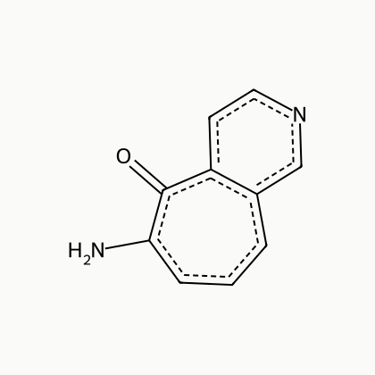 Nc1cccc2cnccc2c1=O